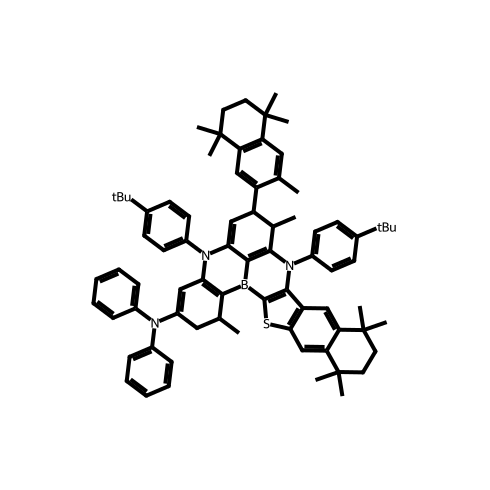 Cc1cc2c(cc1C1C=C3C4=C(C1C)N(c1ccc(C(C)(C)C)cc1)c1c(sc5cc6c(cc15)C(C)(C)CCC6(C)C)B4C1=C(C=C(N(c4ccccc4)c4ccccc4)CC1C)N3c1ccc(C(C)(C)C)cc1)C(C)(C)CCC2(C)C